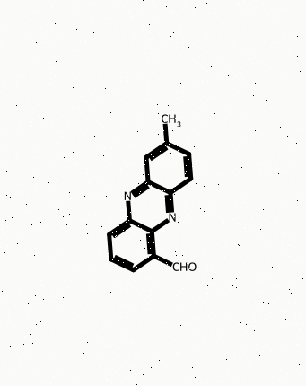 Cc1ccc2nc3c(C=O)cccc3nc2c1